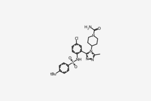 Cc1nnc(-c2cc(Cl)ccc2NS(=O)(=O)c2ccc(C(C)(C)C)cc2)n1C1CCN(C(N)=O)CC1